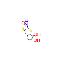 O=C1NC(=S)/C(=C\c2ccc(O)c(O)c2)S1